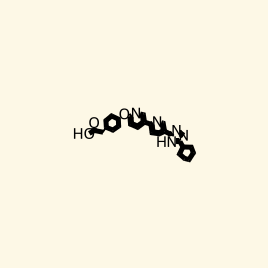 O=C(O)C[C@H]1CC[C@H](Oc2ccc(-c3ccc(-c4nnc(C5CCCCC5)[nH]4)cn3)cn2)CC1